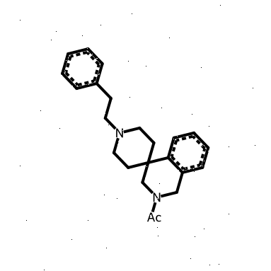 CC(=O)N1Cc2ccccc2C2(CCN(CCc3ccccc3)CC2)C1